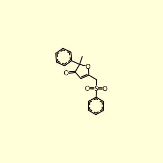 CC1(c2ccccc2)OC(CS(=O)(=O)c2ccccc2)=CC1=O